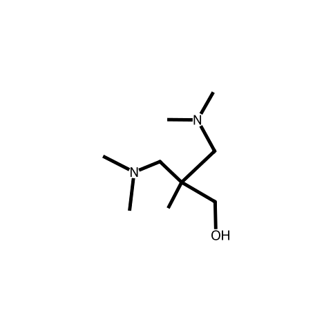 CN(C)CC(C)(CO)CN(C)C